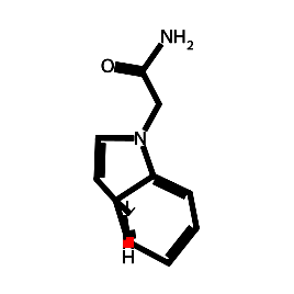 NC(=O)CN1C=CC23C=NNC=C2C=CC=C13